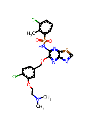 Cc1c(Cl)cccc1S(=O)(=O)Nc1nc2scnc2nc1OCc1ccc(Cl)c(OCCN(C)C)c1